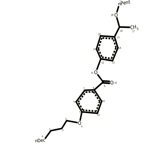 CCCCCCCCCCCCCOc1ccc(C(=O)Oc2ccc(C(C)OCCCCC)cc2)cc1